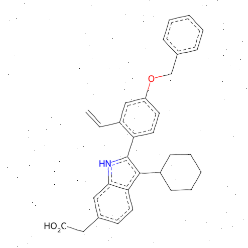 C=Cc1cc(OCc2ccccc2)ccc1-c1[nH]c2cc(CC(=O)O)ccc2c1C1CCCCC1